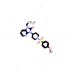 CC(C)Oc1ccc(S(=O)(=O)N2CCC(n3c(=O)n(CC(=O)O)c4cccnc43)CC2)cc1